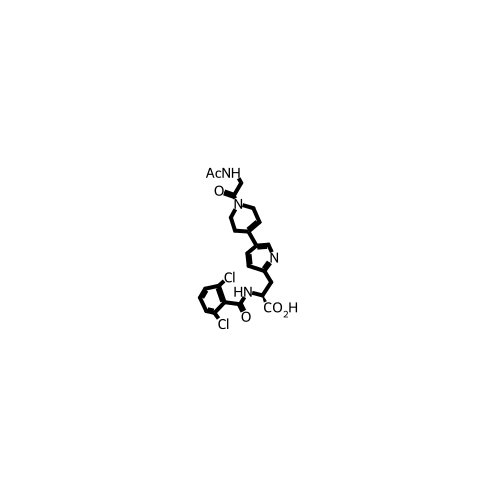 CC(=O)NCC(=O)N1CC=C(c2ccc(C[C@H](NC(=O)c3c(Cl)cccc3Cl)C(=O)O)nc2)CC1